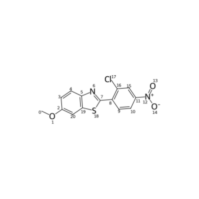 COc1ccc2nc(-c3ccc([N+](=O)[O-])cc3Cl)sc2c1